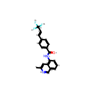 Cc1cc2c(NC(=O)c3ccc(/C=C/C(F)(F)F)cc3)cccc2cn1